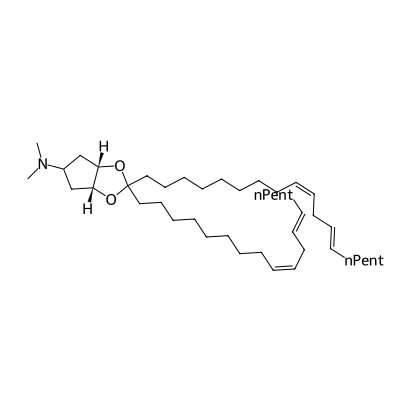 CCCCCC=CC/C=C\CCCCCCCCC1(CCCCCCCC/C=C\CC=CCCCCC)O[C@H]2CC(N(C)C)C[C@H]2O1